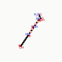 NC(=O)CC[C@H](NC(=O)COCCOCCNC(=O)COCCOCCNC(=O)CCCCCCCCCCCCC(=O)O)C(=O)O